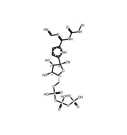 CC(C)NC(=O)N/C(=N/C=N)c1ccc([C@]2(C#N)O[C@H](COP(=O)(O)OP(=O)(O)OP(=O)(O)O)[C@@H](O)[C@H]2O)[nH]1